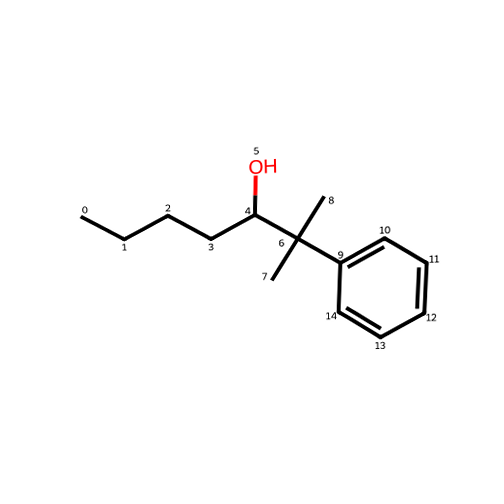 CCCCC(O)C(C)(C)c1ccccc1